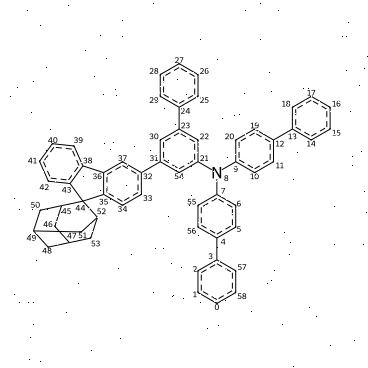 c1ccc(-c2ccc(N(c3ccc(-c4ccccc4)cc3)c3cc(-c4ccccc4)cc(-c4ccc5c(c4)-c4ccccc4C54C5CC6CC(C5)CC4C6)c3)cc2)cc1